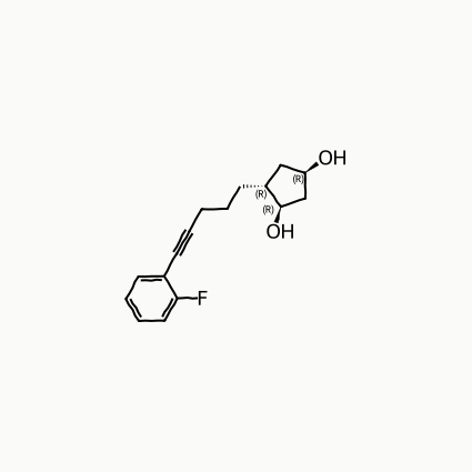 O[C@@H]1C[C@@H](CCCC#Cc2ccccc2F)[C@H](O)C1